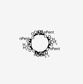 CCCCCC1OC(=O)C(C)N(C)C(=O)C(CCCCC)OC(=O)C(C)N(C)C(=O)C(CCCCC)OC(=O)C(C)N(C)C(=O)C(CCCCC)OC(=O)C(C)N(C)C1=O